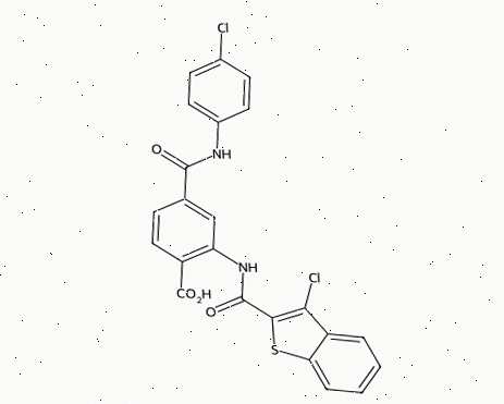 O=C(Nc1ccc(Cl)cc1)c1ccc(C(=O)O)c(NC(=O)c2sc3ccccc3c2Cl)c1